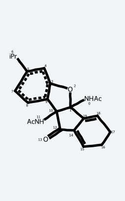 CC(=O)NC12Oc3cc(C(C)C)ccc3C1(NC(C)=O)C(=O)C1=CCCC=C12